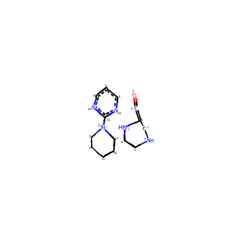 O=C=C1CNCCN1.c1cnc(N2CCCCC2)nc1